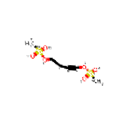 CS(=O)(=O)OC#CCCOS(C)(=O)=O